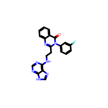 O=c1c2ccccc2nc(CCNc2ncnc3[nH]cnc23)n1-c1cccc(F)c1